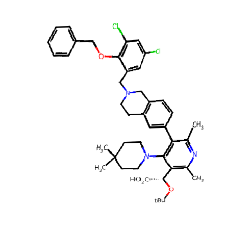 Cc1nc(C)c([C@H](OC(C)(C)C)C(=O)O)c(N2CCC(C)(C)CC2)c1-c1ccc2c(c1)CCN(Cc1cc(Cl)cc(Cl)c1OCc1ccccc1)C2